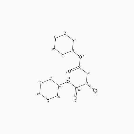 CCC(CC(=O)OC1CCCCC1)C(=O)OC1CCCCC1